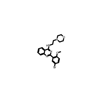 COc1ccc(Br)cc1-c1nc(NCCN2CCOCC2)c2ccccc2n1